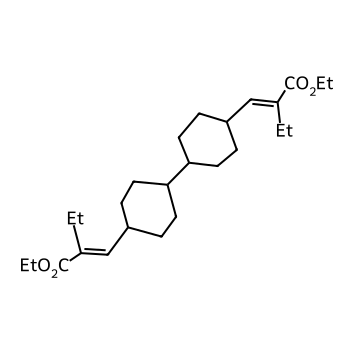 CCOC(=O)/C(=C/C1CCC(C2CCC(/C=C(\CC)C(=O)OCC)CC2)CC1)CC